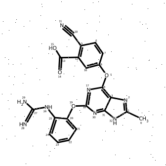 Cc1nc2c(Oc3ccc(C#N)c(C(=O)O)c3)nc(Oc3ccccc3NC(=N)N)nc2[nH]1